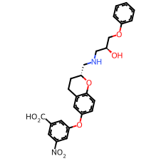 O=C(O)c1cc(Oc2ccc3c(c2)CC[C@H](CNC[C@H](O)COc2ccccc2)O3)cc([N+](=O)[O-])c1